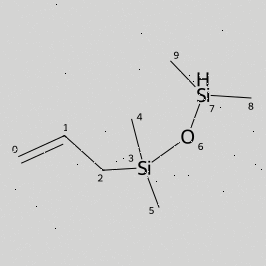 C=CC[Si](C)(C)O[SiH](C)C